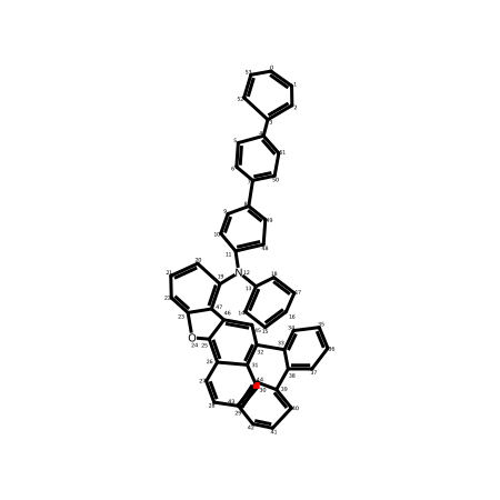 c1ccc(-c2ccc(-c3ccc(N(c4ccccc4)c4cccc5oc6c7ccccc7c(-c7ccccc7-c7ccccc7)cc6c45)cc3)cc2)cc1